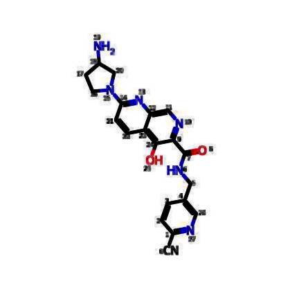 N#Cc1ccc(CNC(=O)c2ncc3nc(N4CCC(N)C4)ccc3c2O)cn1